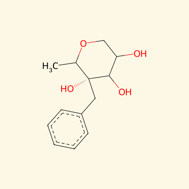 CC1OCC(O)C(O)[C@@]1(O)Cc1ccccc1